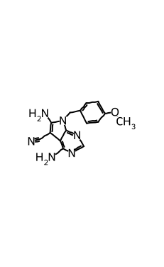 COc1ccc(Cn2c(N)c(C#N)c3c(N)ncnc32)cc1